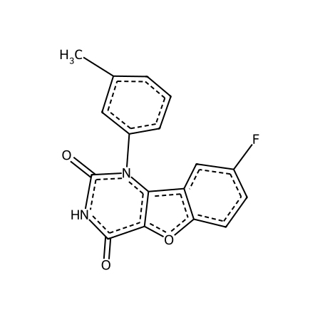 Cc1cccc(-n2c(=O)[nH]c(=O)c3oc4ccc(F)cc4c32)c1